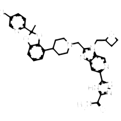 CC1(c2ccc(Cl)cn2)Oc2cccc(C3CCN(Cc4nc5cc(-c6nnc(C(N)=O)[nH]6)ncc5n4CC4CCO4)CC3)c2O1